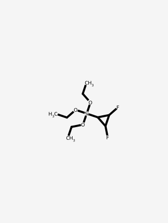 CCO[Si](OCC)(OCC)C1C(F)C1F